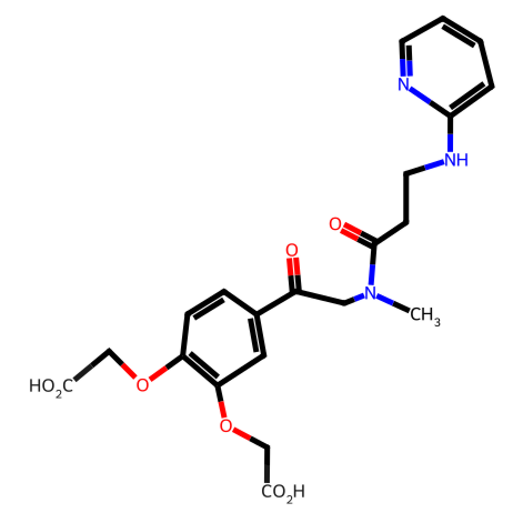 CN(CC(=O)c1ccc(OCC(=O)O)c(OCC(=O)O)c1)C(=O)CCNc1ccccn1